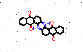 O=C1c2ccc3[nH]c4c(ccc5c(=O)c6ccccc6c(=O)c54)[nH]c3c2C(=O)C2C=CC=CC12